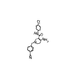 N#Cc1ccc(CN2CCC(N)=C(C(=O)Nc3ccc(Cl)cc3)C2)cc1